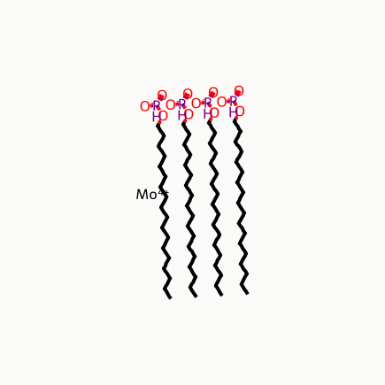 CCCCCCCCCCCCCCCCCCO[PH](=O)[O-].CCCCCCCCCCCCCCCCCCO[PH](=O)[O-].CCCCCCCCCCCCCCCCCCO[PH](=O)[O-].CCCCCCCCCCCCCCCCCCO[PH](=O)[O-].[Mo+4]